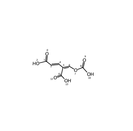 O=C(O)C=CC(=COC(=O)O)C(=O)O